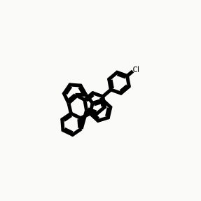 Clc1ccc(-c2ccc3c(c2)-c2c4cccc2-c2cccc-3c2-c2ccccc2-4)cc1